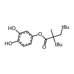 CC(C)(C)CC(C)(C(=O)Oc1ccc(O)c(O)c1)C(C)(C)C